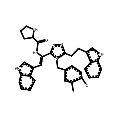 O=C(N/C(=C\c1c[nH]c2ccccc12)c1nnc(CCc2c[nH]c3ccccc23)n1Cc1ccc(Cl)c(Cl)c1)C1CCCN1